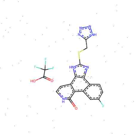 O=C(O)C(F)(F)F.O=c1[nH]ccc2c3[nH]c(SCc4nnn[nH]4)nc3c3ccc(F)cc3c12